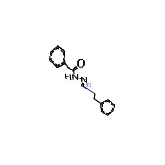 O=C(N/N=C/CCc1ccccc1)c1ccccc1